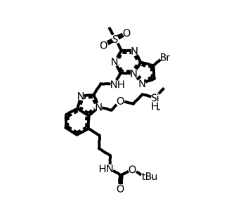 C[SiH](C)CCOCn1c(CNc2nc(S(C)(=O)=O)nc3c(Br)cnn23)nc2cccc(CCCNC(=O)OC(C)(C)C)c21